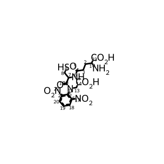 NC(CCC(=O)NC(CS)C(=O)N(CC(=O)O)c1c([N+](=O)[O-])cccc1[N+](=O)[O-])C(=O)O